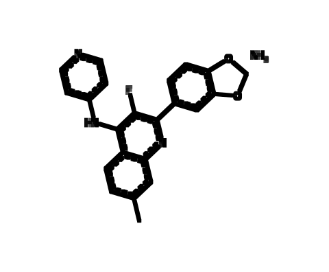 Cc1ccc2c(Nc3ccncc3)c(F)c(-c3ccc4c(c3)OCO4)nc2c1.N